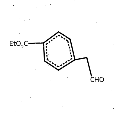 CCOC(=O)c1ccc(CC=O)cc1